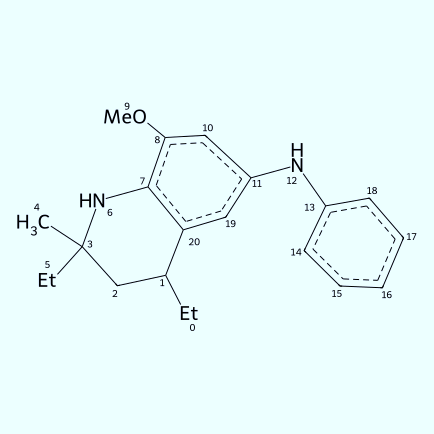 CCC1CC(C)(CC)Nc2c(OC)cc(Nc3ccccc3)cc21